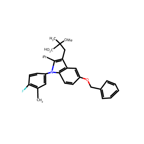 COC(C)(Cc1c(C(C)C)n(-c2ccc(F)c(C)c2)c2ccc(OCc3ccccc3)cc12)C(=O)O